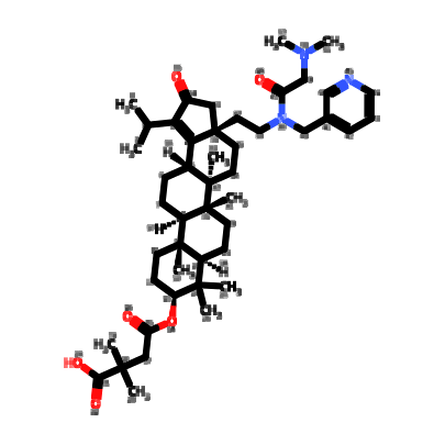 CC(C)C1=C2[C@H]3CC[C@@H]4[C@@]5(C)CC[C@H](OC(=O)CC(C)(C)C(=O)O)C(C)(C)[C@@H]5CC[C@@]4(C)[C@]3(C)CC[C@@]2(CCN(Cc2cccnc2)C(=O)CN(C)C)CC1=O